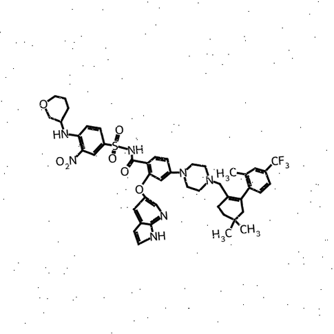 Cc1cc(C(F)(F)F)ccc1C1=C(CN2CCN(c3ccc(C(=O)NS(=O)(=O)c4ccc(NC5CCCOC5)c([N+](=O)[O-])c4)c(Oc4cnc5[nH]ccc5c4)c3)CC2)CCC(C)(C)C1